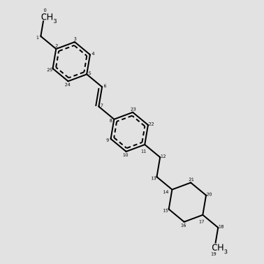 CCc1ccc(C=Cc2ccc(CCC3CCC(CC)CC3)cc2)cc1